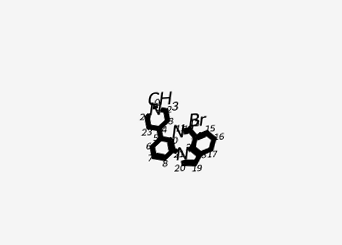 CN1CCC(C2CC=CC3=C2N=C(Br)C2=CCCc4ccn3c42)CC1